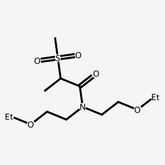 CCOCCN(CCOCC)C(=O)C(C)S(C)(=O)=O